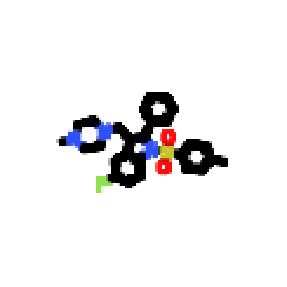 Cc1ccc(S(=O)(=O)n2c(-c3ccccc3)c(CN3CCN(C)CC3)c3cc(F)ccc32)cc1